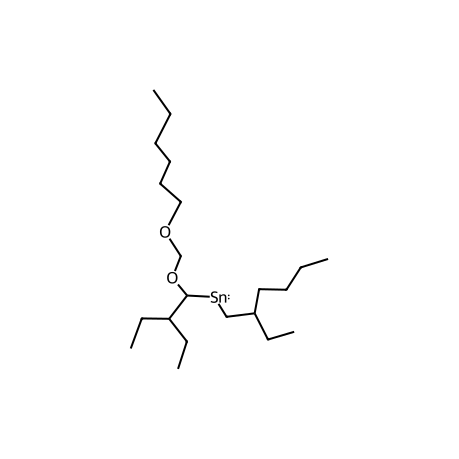 CCCCCCOCO[CH]([Sn][CH2]C(CC)CCCC)C(CC)CC